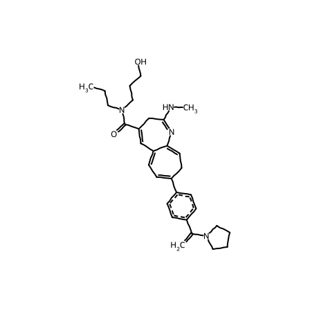 C=C(c1ccc(C2=CC=C3C=C(C(=O)N(CCC)CCCO)CC(NC)=NC3=CC2)cc1)N1CCCC1